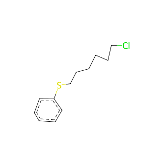 ClCCCCCCSc1ccccc1